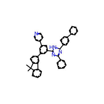 CC1(C)c2ccccc2-c2cc(-c3cc(C4=NC(c5ccccc5)=NC(c5ccc(-c6ccccc6)cc5)N4)cc(-c4ccncc4)c3)ccc21